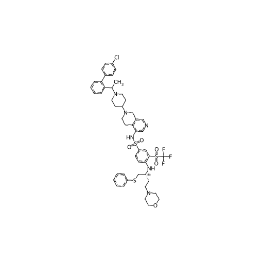 CC(c1ccccc1-c1ccc(Cl)cc1)N1CCC(N2CCc3c(cncc3NS(=O)(=O)c3ccc(N[C@H](CCN4CCOCC4)CSc4ccccc4)c(S(=O)(=O)C(F)(F)F)c3)C2)CC1